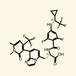 Cc1cc(C(F)(F)F)c(-c2ccc(C[C@H](NC(=O)c3c(F)cc(N[C@H](C4CC4)C(F)(F)F)cc3F)C(=O)O)n3ccnc23)c(=O)n1C